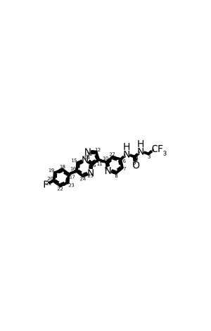 O=C(NCC(F)(F)F)Nc1ccnc(-c2cnn3cc(-c4ccc(F)cc4)cnc23)c1